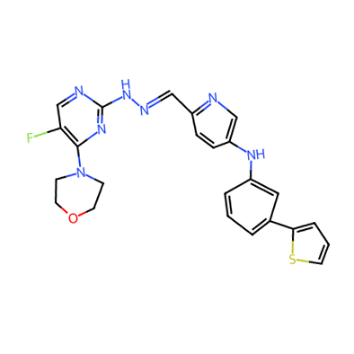 Fc1cnc(N/N=C/c2ccc(Nc3cccc(-c4cccs4)c3)cn2)nc1N1CCOCC1